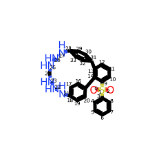 O=S(=O)(c1ccccc1)c1cccc2c1-c1ccc(cc1)NNNCNNNc1ccc-2cc1